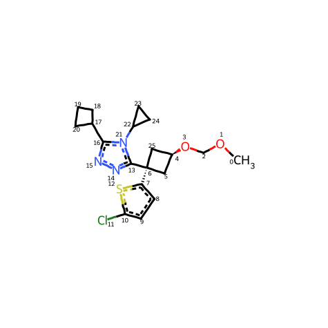 COCO[C@H]1C[C@@](c2ccc(Cl)s2)(c2nnc(C3CCC3)n2C2CC2)C1